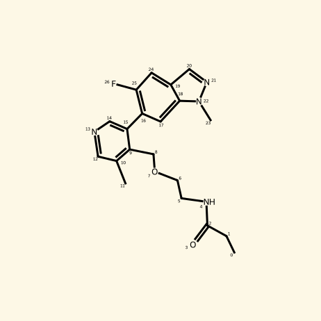 CCC(=O)NCCOCc1c(C)cncc1-c1cc2c(cnn2C)cc1F